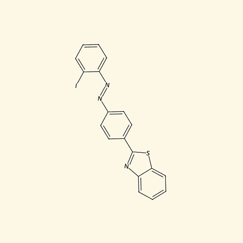 Ic1ccccc1N=Nc1ccc(-c2nc3ccccc3s2)cc1